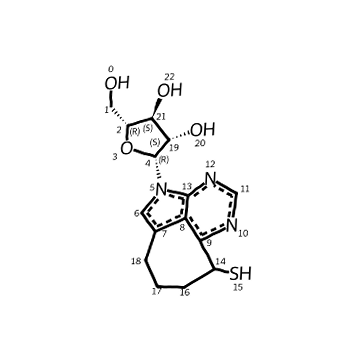 OC[C@H]1O[C@@H](n2cc3c4c(ncnc42)C(S)CCC3)[C@@H](O)[C@@H]1O